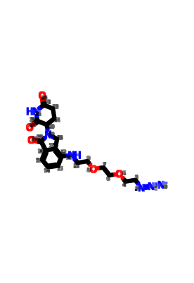 [N-]=[N+]=NCCOCCOCCNc1cccc2c1CN(C1CCC(=O)NC1=O)C2=O